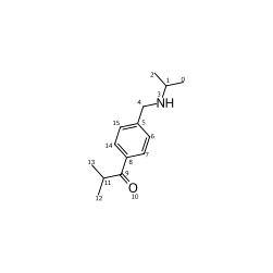 CC(C)NCc1ccc(C(=O)C(C)C)cc1